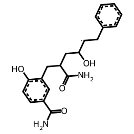 NC(=O)c1ccc(O)c(CC(CC(O)[CH]Cc2ccccc2)C(N)=O)c1